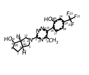 Cc1nc(N2C[C@@H]3CC[C@@H](O)[C@@H]3C2)nnc1-c1ccc(C(F)(F)F)cc1O